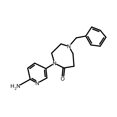 Nc1ccc(N2CCN(Cc3ccccc3)CCC2=O)cn1